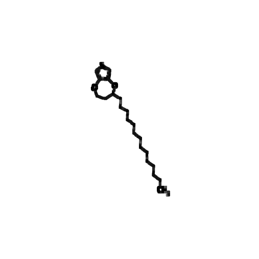 CCCCCCCCCCCCCCC1CCOc2cscc2O1